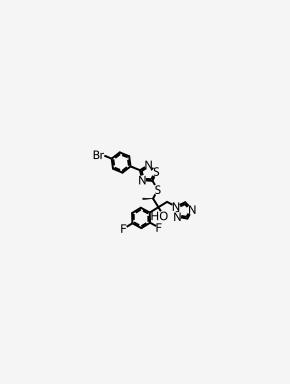 C[C@@H](Sc1nc(-c2ccc(Br)cc2)ns1)C(O)(Cn1cncn1)c1ccc(F)cc1F